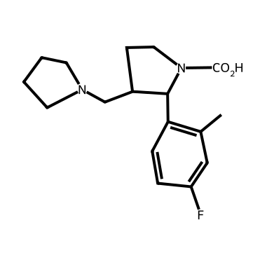 Cc1cc(F)ccc1C1C(CN2CCCC2)CCN1C(=O)O